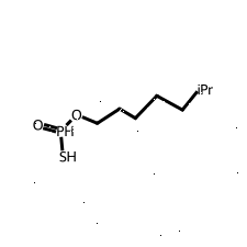 CC(C)CCCCCO[PH](=O)S